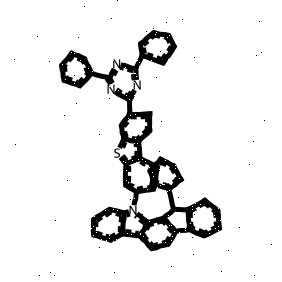 c1ccc(-c2nc(-c3ccccc3)nc(-c3ccc4c(c3)sc3cc(-n5c6ccccc6c6ccc7c(c65)C(c5ccccc5)c5ccccc5-7)ccc34)n2)cc1